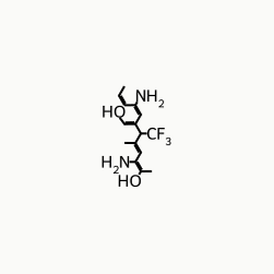 C\C=C(O)/C(N)=C\C(=C/C)C(/C(C)=C/C(N)=C(\C)O)C(F)(F)F